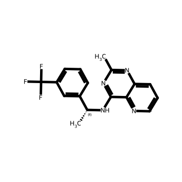 Cc1nc(N[C@H](C)c2cccc(C(F)(F)F)c2)c2n[c]ccc2n1